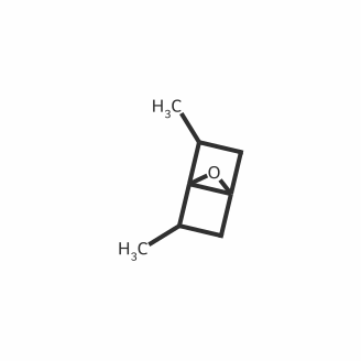 CC1CC23CC(C)C12O3